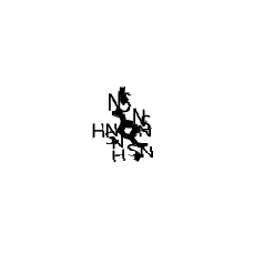 Cc1ncc(-c2c3c(c(-c4cnc(C)s4)c4nsnc24)NSN3)s1